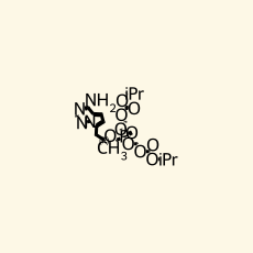 CC(C)OC(=O)OCOP(=O)(CO[C@H](C)Cc1ccc2c(N)ncnn12)OCOC(=O)OC(C)C